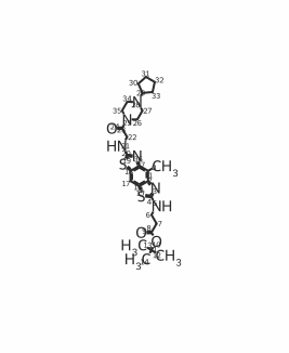 Cc1c2nc(NCCC(=O)OC(C)(C)C)sc2cc2sc(NCC(=O)N3CCN(C4CCCC4)CC3)nc12